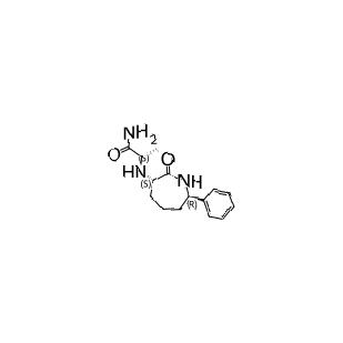 C[C@H](N[C@H]1CCC[C@H](c2ccccc2)NC1=O)C(N)=O